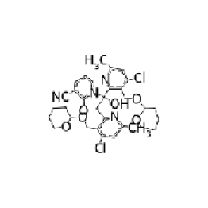 Cc1cc(Cl)c(COC2CCCCO2)c(CC(O)(c2nc(C)cc(Cl)c2COC2CCCCO2)n2cccc(C#N)c2=O)n1